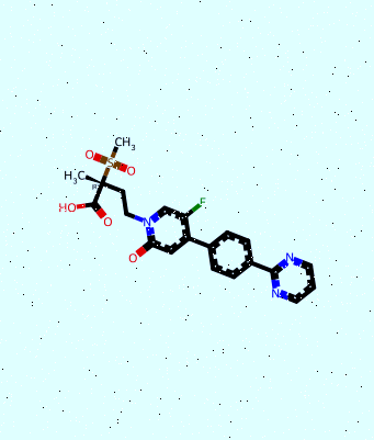 C[C@@](CCn1cc(F)c(-c2ccc(-c3ncccn3)cc2)cc1=O)(C(=O)O)S(C)(=O)=O